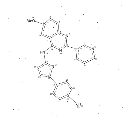 COc1ccc2nc(-c3cccnc3)nc(Nc3nc(-c4ccc(C)cc4)cs3)c2c1